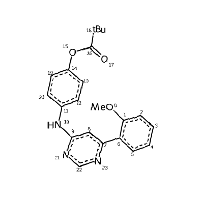 COc1ccccc1-c1cc(Nc2ccc(OC(=O)C(C)(C)C)cc2)ncn1